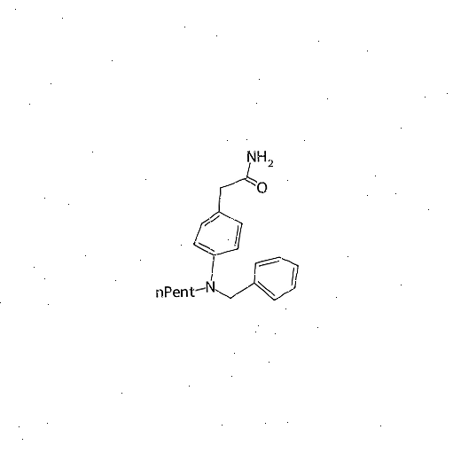 CCCCCN(Cc1ccccc1)c1ccc(CC(N)=O)cc1